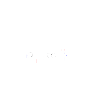 CCCCCCCCNC(=O)CCc1ccc2cc(OCC(O)CCc3cccnc3)ccc2c1